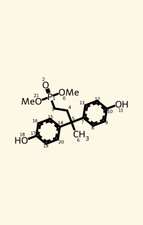 COP(=O)(CCC(C)(c1ccc(O)cc1)c1ccc(O)cc1)OC